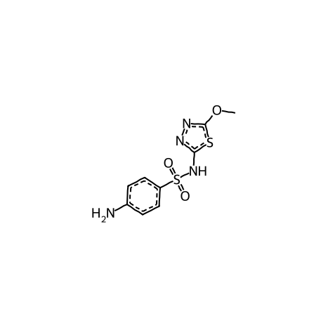 COc1nnc(NS(=O)(=O)c2ccc(N)cc2)s1